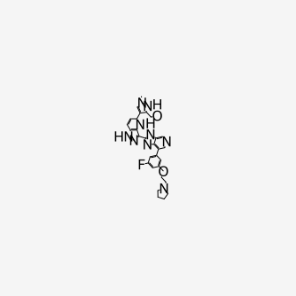 Cn1cc(-c2ccc3[nH]nc(-c4nc5c(-c6cc(F)cc(OCCN7CCCC7)c6)cncc5[nH]4)c3n2)c(CO)n1